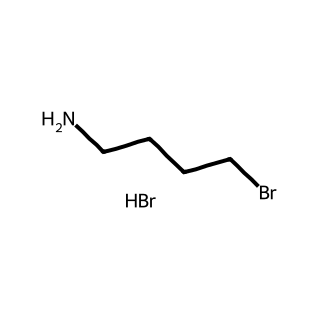 Br.NCCCCBr